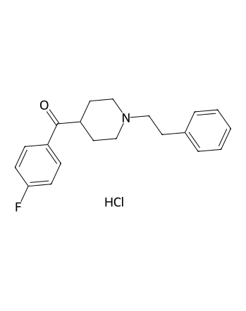 Cl.O=C(c1ccc(F)cc1)C1CCN(CCc2ccccc2)CC1